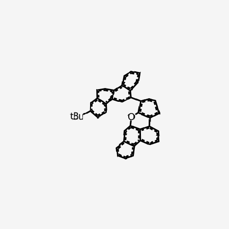 CC(C)(C)c1ccc2c(ccc3c4ccccc4c(-c4cccc5c4Oc4cc6ccccc6c6cccc-5c46)cc23)c1